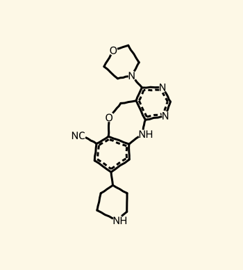 N#Cc1cc(C2CCNCC2)cc2c1OCc1c(ncnc1N1CCOCC1)N2